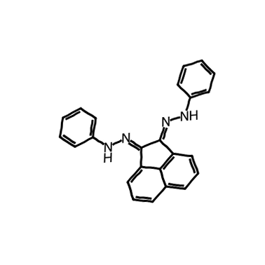 c1ccc(NN=C2C(=NNc3ccccc3)c3cccc4cccc2c34)cc1